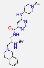 CC(=O)N1CCC(Nc2cc(C(=O)NCC(CN3CCc4ccccc4C3)NC(C)C)ncn2)CC1